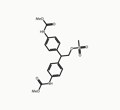 COC(=O)Nc1ccc(C(COS(C)(=O)=O)c2ccc(NC(=O)OC)cc2)cc1